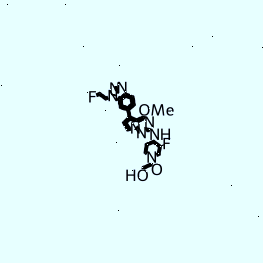 COc1nc(N[C@H]2CCN(C(=O)CO)C[C@H]2F)nn2ccc(-c3ccc4nnn(CCF)c4c3)c12